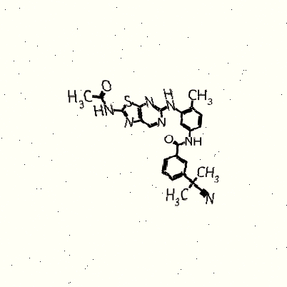 CC(=O)Nc1nc2cnc(Nc3cc(NC(=O)c4cccc(C(C)(C)C#N)c4)ccc3C)nc2s1